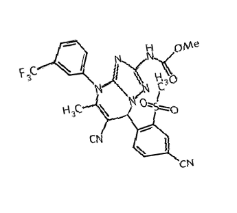 [C-]#[N+]C1=C(C)N(c2cccc(C(F)(F)F)c2)c2nc(NC(=O)OC)nn2C1c1ccc(C#N)cc1S(C)(=O)=O